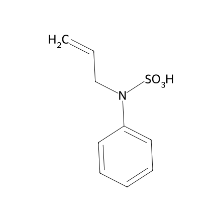 C=CCN(c1ccccc1)S(=O)(=O)O